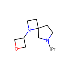 CC(C)N1CCC2(CCN2C2COC2)C1